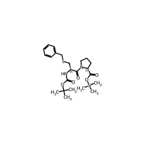 CC(C)(C)OC(=O)N[C@@H](CSCc1ccccc1)C(=O)N1CCC[C@H]1C(=O)O[Si](C)(C)C